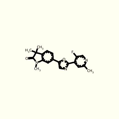 Cc1cc(-c2ncc(-c3ccc4c(c3)N(C)C(=O)C4(C)C)o2)c(F)cn1